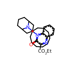 CCOC(=O)c1nc2ccccc2n(C2CC3CCCC(C2)N3C2CCCCCCCCC2)c1=O